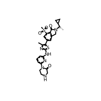 Cc1nc(Nc2cccc(N3CCNCC3=O)n2)sc1-c1cc2c(c(S(C)(=O)=O)c1)C(=O)N([C@@H](C)C1CC1)C2